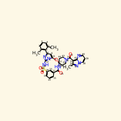 Cc1cccc(C)c1-c1cc2nc(n1)NS(=O)(=O)c1cccc(c1)C(=O)NC1(CCN(C(=O)c3c(C)nn4cccnc34)CC1)O2